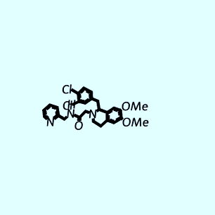 COc1cc2c(cc1OC)C(Cc1ccc(Cl)c(Cl)c1)N(CC(=O)NCc1ccccn1)CC2